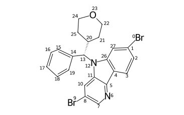 Brc1ccc2c3ncc(Br)cc3n([C@H](c3ccccc3)C3CCOCC3)c2c1